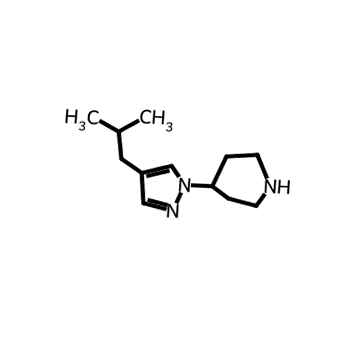 CC(C)Cc1cnn(C2CCNCC2)c1